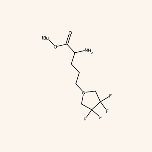 CC(C)(C)OC(=O)C(N)CCCN1CC(F)(F)C(F)(F)C1